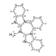 Cn1c2nc3ccccc3n2c2ccccc2n2c3ccccc3nc12